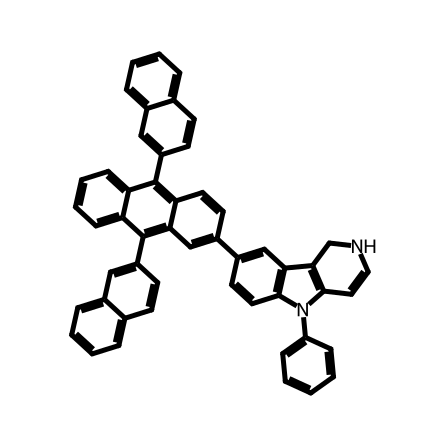 C1=Cc2c(c3cc(-c4ccc5c(-c6ccc7ccccc7c6)c6ccccc6c(-c6ccc7ccccc7c6)c5c4)ccc3n2-c2ccccc2)CN1